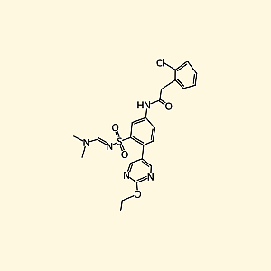 CCOc1ncc(-c2ccc(NC(=O)Cc3ccccc3Cl)cc2S(=O)(=O)/N=C/N(C)C)cn1